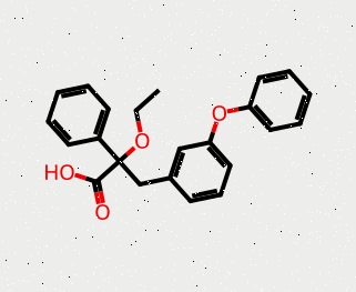 CCOC(Cc1cccc(Oc2ccccc2)c1)(C(=O)O)c1ccccc1